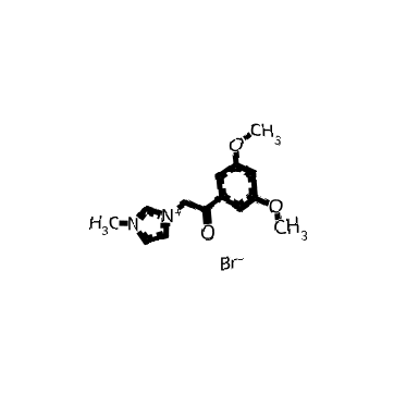 COc1cc(OC)cc(C(=O)C[n+]2ccn(C)c2)c1.[Br-]